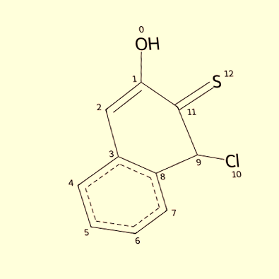 OC1=Cc2ccccc2C(Cl)C1=S